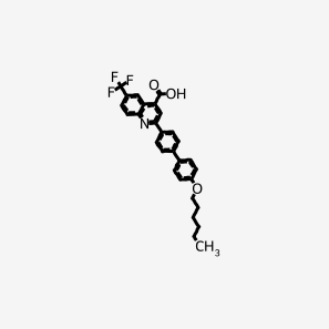 CCCCCCOc1ccc(-c2ccc(-c3cc(C(=O)O)c4cc(C(F)(F)F)ccc4n3)cc2)cc1